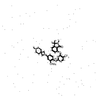 COc1cc(N2CC3(CCN(C)CC3)C2)ccc1Nc1ncc(C(F)(F)F)c(Oc2cccc3c2C(=O)N(C)C3(C)C)n1